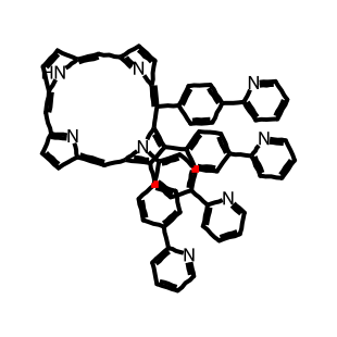 C1=Cc2cc3c(-c4ccc(-c5ccccn5)cc4)c(-c4ccc(-c5ccccn5)cc4)c(c(-c4ccc(-c5ccccn5)cc4)c4nc(cc5ccc(cc1n2)[nH]5)C=C4)n3-c1ccc(-c2ccccn2)cc1